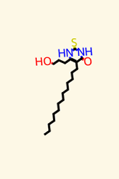 CCCCCCCCCCCCCCc1c(CCCO)[nH]c(=S)[nH]c1=O